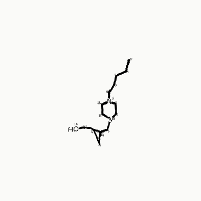 CCCCCN1CCN(CC2CC2CO)CC1